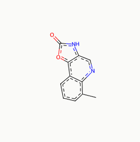 Cc1cccc2c1ncc1[nH]c(=O)oc12